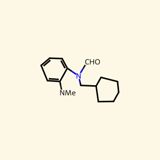 CNc1ccccc1N(C=O)CC1CCCCC1